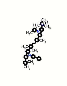 C=C(C)/C=C(C)\C(=C\C)c1ccc2c3ccc(-c4ccc(CCc5cc(C)c(-c6ccc7c8ccc(-c9ccc(C)cc9C)cc8n(-c8ccc(-c9ccccc9)cc8)c7c6)c(C)c5)cc4C)cc3n(-c3cccc(C)c3)c2c1